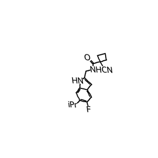 CC(C)c1cc2[nH]c(CNC(=O)C3(C#N)CCC3)cc2cc1F